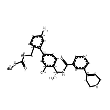 C[C@@H](NC(=O)c1cncc(C2=CCOCC2)c1)c1ccc(-c2cc(C(F)(F)F)ccc2CNC(=O)OC(C)(C)C)cc1Cl